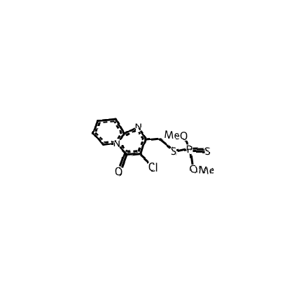 COP(=S)(OC)SCc1nc2ccccn2c(=O)c1Cl